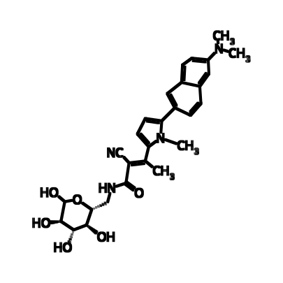 C/C(=C(/C#N)C(=O)NC[C@H]1OC(O)[C@H](O)[C@@H](O)[C@@H]1O)c1ccc(-c2ccc3cc(N(C)C)ccc3c2)n1C